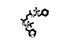 CC(CCC(C)=NN(Cc1ccccc1)[Si](C)(C)C)=NN(Cc1ccccc1)[Si](C)(C)C